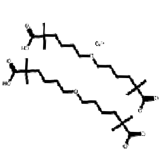 CC(C)(CCCCOCCCCC(C)(C)C(=O)O)C(=O)[O-].CC(C)(CCCCOCCCCC(C)(C)C(=O)O)C(=O)[O-].[Ca+2]